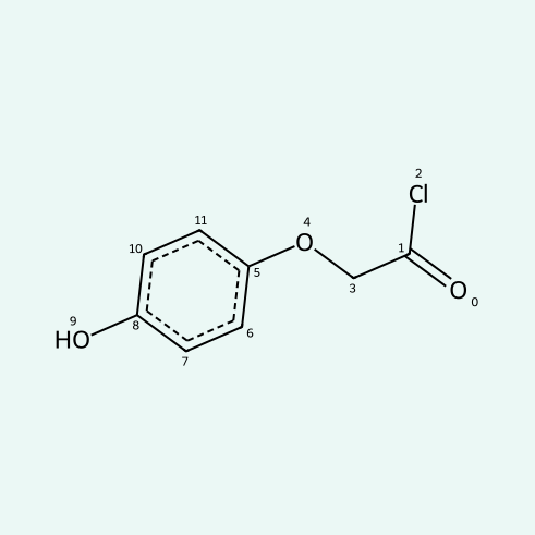 O=C(Cl)COc1ccc(O)cc1